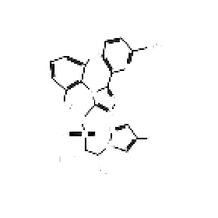 COc1cccc(-c2nnc(NS(=O)(=O)[C@@H](C)[C@@H](C)n3cc(C)cn3)n2-c2c(OC)cccc2OC)n1